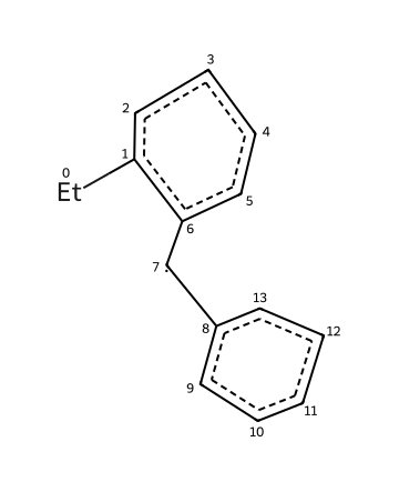 CCc1ccccc1[CH]c1ccccc1